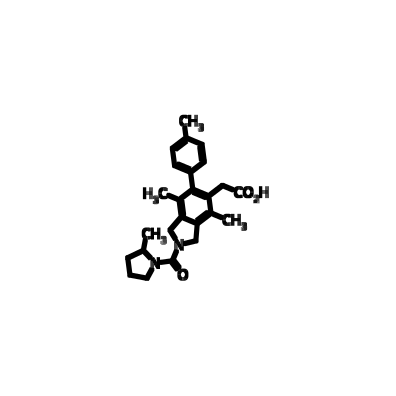 Cc1ccc(-c2c(C)c3c(c(C)c2CC(=O)O)CN(C(=O)N2CCCC2C)C3)cc1